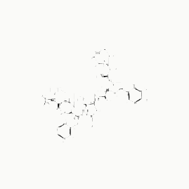 CC(C)C[C@H](NC(=O)[C@H](Cc1ccccc1)N1C(=O)[C@H](NC(=O)[C@@](C)(CCc2ccccc2)NC(=O)CN2CCOCC2)CC1C)C(=O)[C@]1(C)CO1